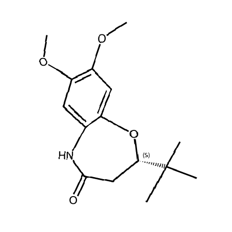 COc1cc2c(cc1OC)O[C@H](C(C)(C)C)CC(=O)N2